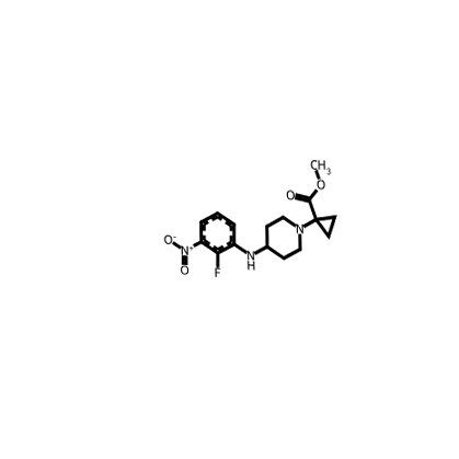 COC(=O)C1(N2CCC(Nc3cccc([N+](=O)[O-])c3F)CC2)CC1